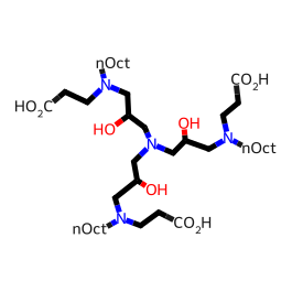 CCCCCCCCN(CCC(=O)O)CC(O)CN(CC(O)CN(CCCCCCCC)CCC(=O)O)CC(O)CN(CCCCCCCC)CCC(=O)O